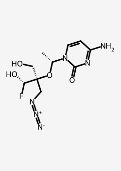 C[C@@H](O[C@@](CO)(CN=[N+]=[N-])[C@@H](O)F)n1ccc(N)nc1=O